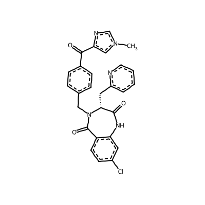 Cn1cnc(C(=O)c2ccc(CN3C(=O)c4ccc(Cl)cc4NC(=O)[C@H]3Cc3ccccn3)cc2)c1